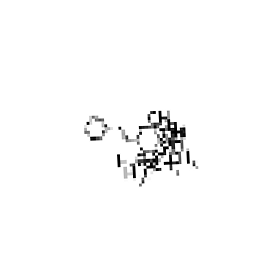 CC(C)(C)C1(C(C)(C)C)CC(C=Cc2ccccc2)=CC(C)(C)C1(O)O